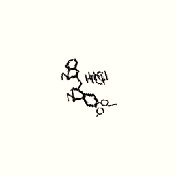 CCOc1cc2c(Cc3cnc4ccccc4c3)cncc2cc1OC.Cl.Cl